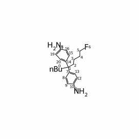 CCCCC(CCCCF)(c1ccc(N)cc1)c1ccc(N)cc1